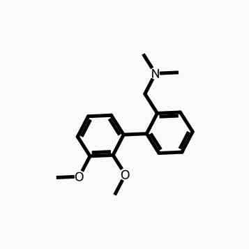 COc1cccc(-c2ccccc2CN(C)C)c1OC